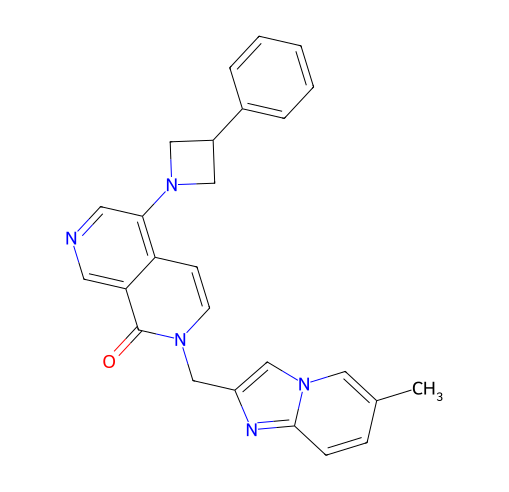 Cc1ccc2nc(Cn3ccc4c(N5CC(c6ccccc6)C5)cncc4c3=O)cn2c1